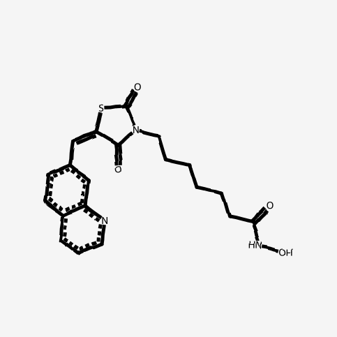 O=C(CCCCCCN1C(=O)SC(=Cc2ccc3cccnc3c2)C1=O)NO